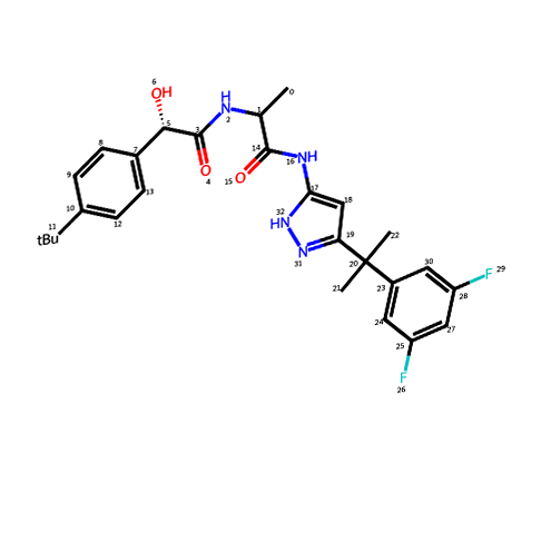 CC(NC(=O)[C@@H](O)c1ccc(C(C)(C)C)cc1)C(=O)Nc1cc(C(C)(C)c2cc(F)cc(F)c2)n[nH]1